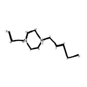 CC[CH]CCN1CCN(CC)CC1